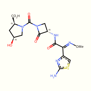 CON=C(C(=O)N[C@H]1CN(C(=O)N2C[C@@H](O)C[C@H]2C(=O)O)C1=O)c1csc(N)n1